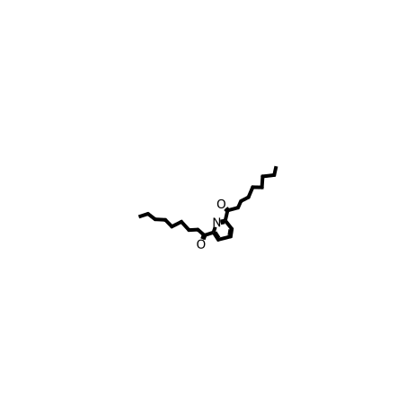 CCCCCCCCC(=O)c1cccc(C(=O)CCCCCCCC)n1